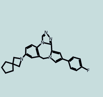 Fc1ccc(-c2cc3n(c2)Cc2cc(N4CC5(CCCC5)C4)ccc2-n2cnnc2-3)cc1